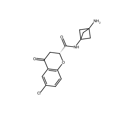 NC12CC(NC(=O)[C@H]3CC(=O)c4cc(Cl)ccc4O3)(C1)C2